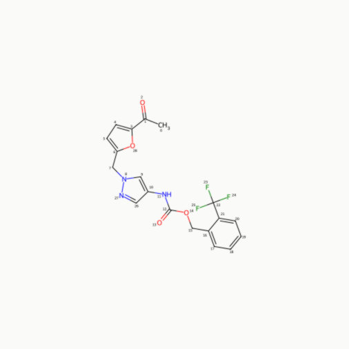 CC(=O)c1ccc(Cn2cc(NC(=O)OCc3ccccc3C(F)(F)F)cn2)o1